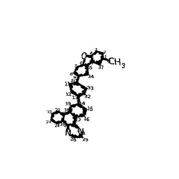 Cc1ccc2oc3ccc(-c4ccc(-c5ccc6c(c5)c5ccccc5c5nccnc65)cc4)cc3c2c1